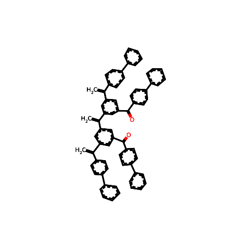 C=C(c1ccc(-c2ccccc2)cc1)c1cc(C(=C)c2cc(C(=C)c3ccc(-c4ccccc4)cc3)cc(C(=O)c3ccc(-c4ccccc4)cc3)c2)cc(C(=O)c2ccc(-c3ccccc3)cc2)c1